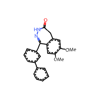 COc1cc2c(cc1OC)C(c1cccc(-c3ccccc3)c1)=NNC(=O)C2